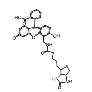 O=C(CCCCC1SCC2NC(=O)NC21)NCc1c(O)ccc2c(-c3ccccc3C(=O)O)c3ccc(=O)cc-3oc12